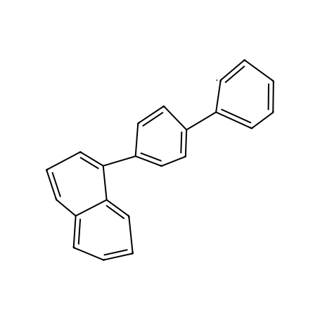 [c]1ccccc1-c1ccc(-c2cccc3ccccc23)cc1